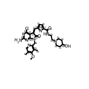 COc1c(C)cnc(CN2C(=O)/C(=C\c3ccc(C(=O)NCCN4CCC(O)CC4)[nH]3)c3c(Cl)nc(N)nc32)c1C